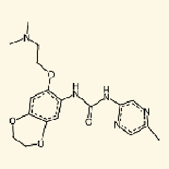 Cc1cnc(NC(=O)Nc2cc3c(cc2OCCN(C)C)OCCO3)cn1